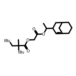 CC(OC(=O)COC(=O)C(C)(CC(C)(C)C)C(C)(C)C)C1C=C2CCCC(C2)C1